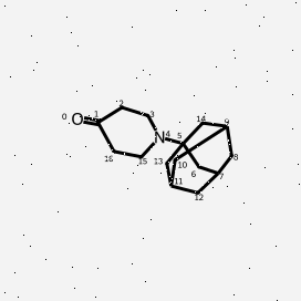 O=C1CCN(C23CC4CC(CC(C4)C2)C3)CC1